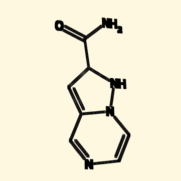 NC(=O)C1C=C2C=NC=CN2N1